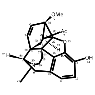 CO[C@]12C=C[C@@]3(C[C@@H]1C(C)=O)[C@H]1Cc4ccc(O)c5c4[C@@]3(CCN1C)[C@H]2O5